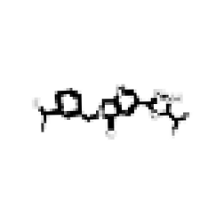 O=C1c2cc(C3=NNC(C(F)F)O3)cnc2CN1Cc1cccc(C(F)F)c1